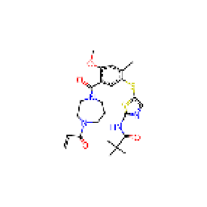 C=CC(=O)N1CCCN(C(=O)c2cc(Sc3cnc(NC(=O)C(C)(C)C)s3)c(C)cc2OC)CC1